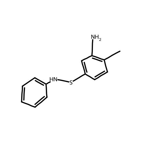 Cc1ccc(SNc2ccccc2)cc1N